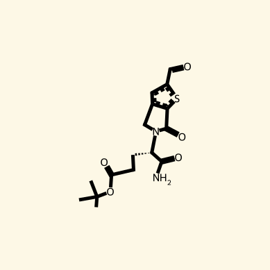 CC(C)(C)OC(=O)CC[C@@H](C(N)=O)N1Cc2cc(C=O)sc2C1=O